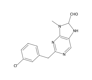 CN1c2nc(Cc3cccc(Cl)c3)ncc2NC1C=O